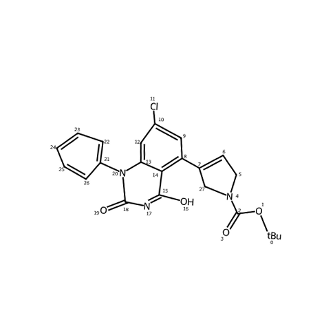 CC(C)(C)OC(=O)N1CC=C(c2cc(Cl)cc3c2c(O)nc(=O)n3-c2ccccc2)C1